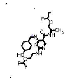 C[C@H](COC(F)F)NC(=O)c1cnc(NCCOC(F)F)nc1/N=C\C1CCC(O)CC1